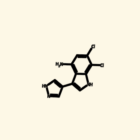 Nc1cc(Cl)c(Cl)c2[nH]cc(-c3cn[nH]c3)c12